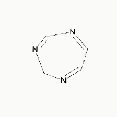 C1=NC=NCN=C1